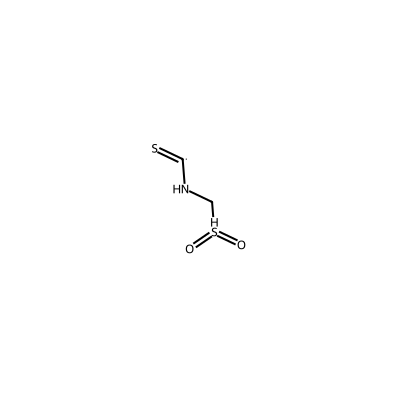 O=[SH](=O)CN[C]=S